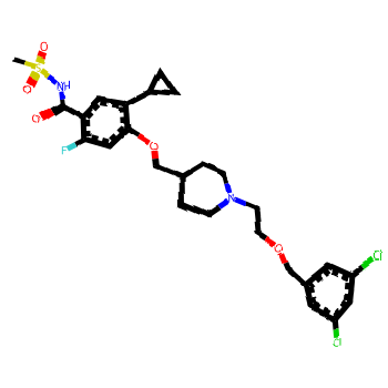 CS(=O)(=O)NC(=O)c1cc(C2CC2)c(OCC2CCN(CCOCc3cc(Cl)cc(Cl)c3)CC2)cc1F